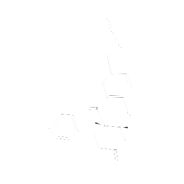 [N-]=[N+]=NCc1ccc2c(c1)C(=O)[C@H]1[C@@H](c3ccccc3)CC(=O)C[C@H]1N2